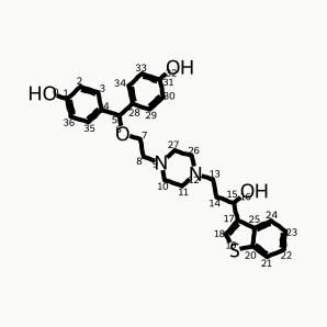 Oc1ccc(C(OCCN2CCN(CCC(O)c3csc4ccccc34)CC2)c2ccc(O)cc2)cc1